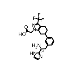 N[C@@H](Cc1cccc(C2CCc3c(C(F)(F)F)nn(CC(=O)O)c3C2)c1)c1ncc[nH]1